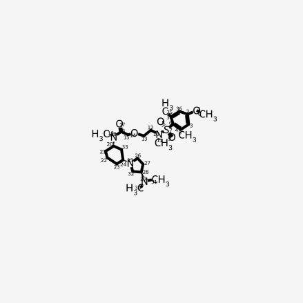 COc1cc(C)c(S(=O)(=O)N(C)CCOCC(=O)N(C)[C@H]2CCC[C@@H](N3CC[C@@H](N(C)C)C3)C2)c(C)c1